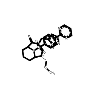 COC[C@H]1CN(Cc2cnn[nH]2)C(=O)C2CCCC1N2S(=O)(=O)c1ccc(-c2ncccn2)cc1